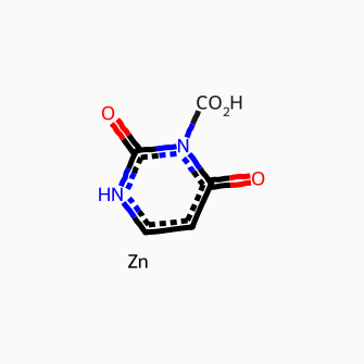 O=C(O)n1c(=O)cc[nH]c1=O.[Zn]